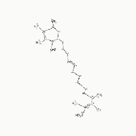 CC(OC=O)=C(C)C(C)CCCCCC=CCCCCCC(C)/C(C)=C(\C)C(=O)O